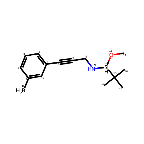 Bc1cccc(C#CCN[SiH](OC)C(C)(C)C)c1